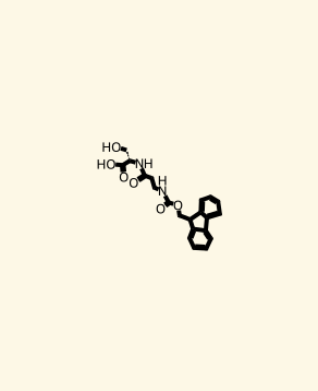 O=C(CCNC(=O)OCC1c2ccccc2-c2ccccc21)N[C@@H](CO)C(=O)O